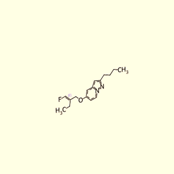 CCCCc1cc2cc(OC/C(=C/F)CC)ccn2n1